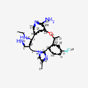 CCN/C1=C(\C=N)Cn2cc(C)nc2-c2ccc(F)cc2C(C)Oc2cc1cnc2N